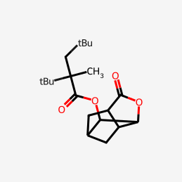 CC(C)(C)CC(C)(C(=O)OC1C2CC3C(=O)OC1C3C2)C(C)(C)C